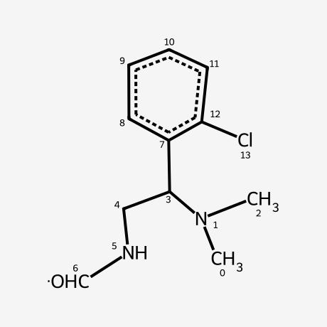 CN(C)C(CN[C]=O)c1ccccc1Cl